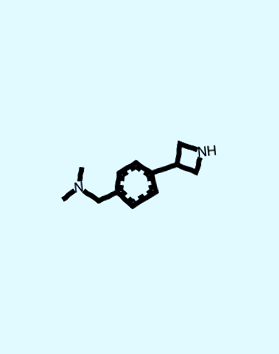 CN(C)Cc1ccc(C2CNC2)cc1